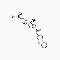 NC(CCCCB(O)O)(C(=O)O)C1CC(NCc2ccc3c(c2)Cc2ccccc2-3)C1